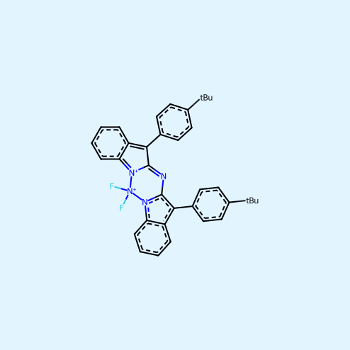 CC(C)(C)c1ccc(C2=c3ccccc3=[N+]3C2=Nc2c(-c4ccc(C(C)(C)C)cc4)c4ccccc4n2[N+]3(F)F)cc1